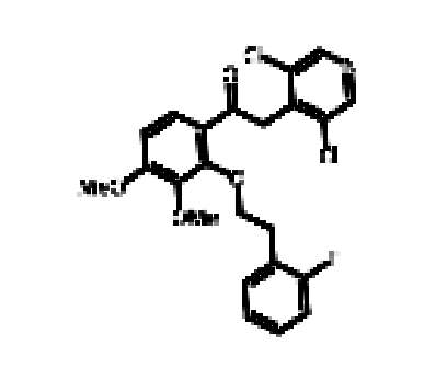 COc1ccc(C(=O)Cc2c(Cl)cncc2Cl)c(OCCc2ccccc2F)c1OC